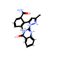 Cc1cc(-c2c(C(N)=O)cccc2C(F)(F)F)n(-c2nc3ccccc3c(=O)[nH]2)n1